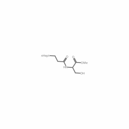 CCCCCCCCCC(=O)NC(CO)C(=O)OC